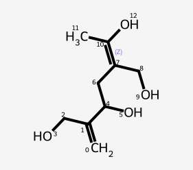 C=C(CO)C(O)C/C(CO)=C(\C)O